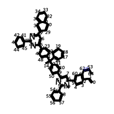 C=Cc1ccc(-c2cc(-c3ccc(C(C)(c4ccccc4)c4ccc(-c5cc(-c6ccc7ccccc7c6)nc(-c6ccccc6)n5)cc4)cc3)nc(-c3ccccc3)n2)cc1/C=C\C